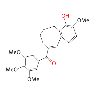 COc1ccc2c(c1O)CCCCC(C(=O)c1cc(OC)c(OC)c(OC)c1)=C2